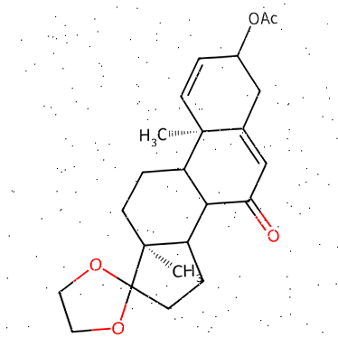 CC(=O)OC1C=C[C@@]2(C)C(=CC(=O)C3C2CC[C@@]2(C)C3CCC23OCCO3)C1